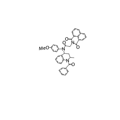 COc1ccc(N(C(=O)CN2C(=O)c3cccc4cccc(c34)C2=O)C2CC(C)N(C(=O)c3ccccc3)c3ccccc32)cc1